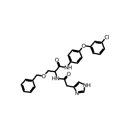 O=C(Cc1c[nH]cn1)NC(COCc1ccccc1)C(=O)Nc1ccc(Oc2cccc(Cl)c2)cc1